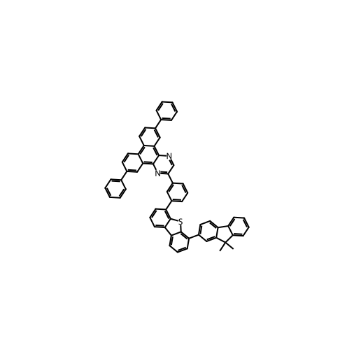 CC1(C)c2ccccc2-c2ccc(-c3cccc4c3sc3c(-c5cccc(-c6cnc7c8cc(-c9ccccc9)ccc8c8ccc(-c9ccccc9)cc8c7n6)c5)cccc34)cc21